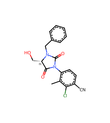 Cc1c(N2C(=O)[C@H](CO)N(Cc3ccccc3)C2=O)ccc(C#N)c1Cl